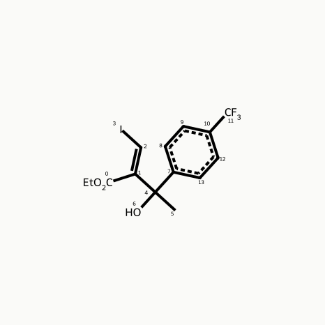 CCOC(=O)C(=CI)C(C)(O)c1ccc(C(F)(F)F)cc1